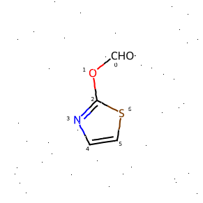 O=[C]Oc1nccs1